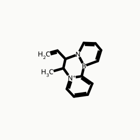 C=CC1C(C)[n+]2ccccc2B2C=CC=CN21